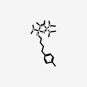 Cc1ccc(CCCCN=P(N=P(N(C)C)(N(C)C)N(C)C)(N(C)C)N(C)C)cc1